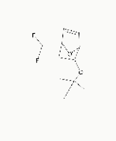 CC(C)(C)OC1CC2(C(F)F)C=CC1O2